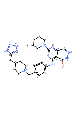 N#CC1CCCN(c2nc(Nc3ccc(CN4CCC(Cc5nn[nH]n5)CC4)cc3)c3c(=O)[nH]ncc3n2)C1